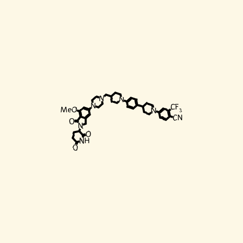 COc1cc(N2CCN(CC3CCN(c4ccc(C5CCN(c6ccc(C#N)c(C(F)(F)F)c6)CC5)cc4)CC3)CC2)cc2c1C(=O)N(C1CCC(=O)NC1=O)C2